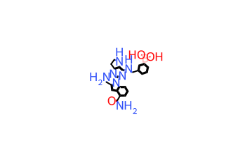 NCc1cc2c(C(N)=O)cccc2n1-c1nc2c(c(NCc3cccc(B(O)O)c3)n1)NCC2